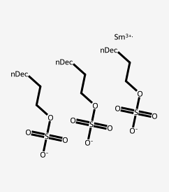 CCCCCCCCCCCCOS(=O)(=O)[O-].CCCCCCCCCCCCOS(=O)(=O)[O-].CCCCCCCCCCCCOS(=O)(=O)[O-].[Sm+3]